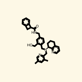 Cc1cnc(CN(Cc2ccc(CNC(=O)C3Cc4ccccc43)cc2CO)[C@H]2CCCc3cccnc32)c(C)c1